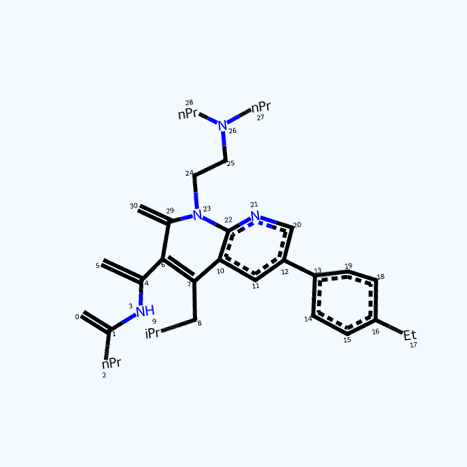 C=C(CCC)NC(=C)C1=C(CC(C)C)c2cc(-c3ccc(CC)cc3)cnc2N(CCN(CCC)CCC)C1=C